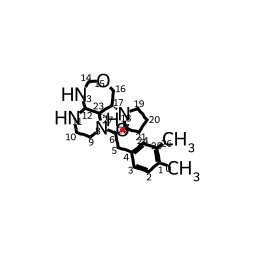 Cc1ccc(CC(=O)N2CCNC3NCOC[C@H](N4CCCC4)[C@H]32)cc1C